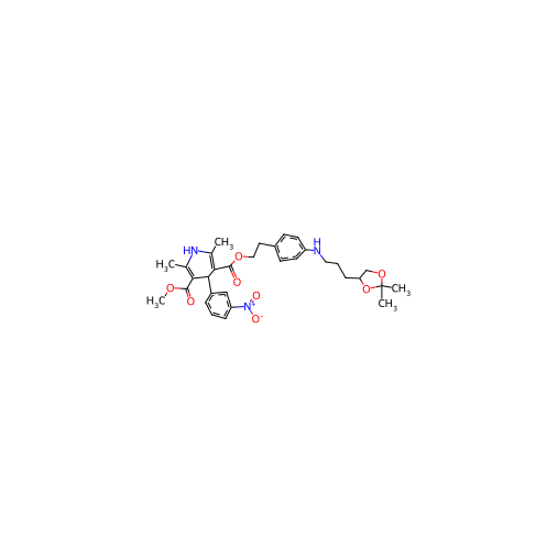 COC(=O)C1=C(C)NC(C)=C(C(=O)OCCc2ccc(NCCCC3COC(C)(C)O3)cc2)C1c1cccc([N+](=O)[O-])c1